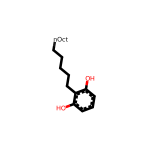 CCCCCCCCCCCCCc1c(O)cccc1O